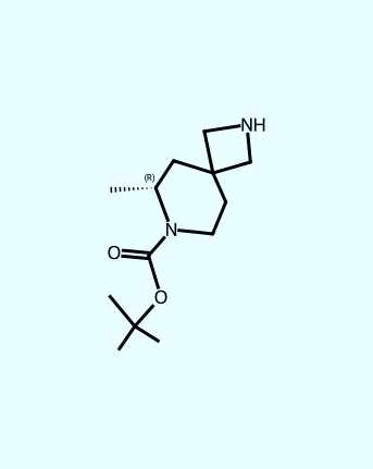 C[C@@H]1CC2(CCN1C(=O)OC(C)(C)C)CNC2